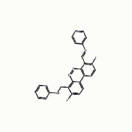 Fc1ccc2c(nnc3c(CNc4ccccc4)c(F)ccc32)c1/C=N/c1ccccc1